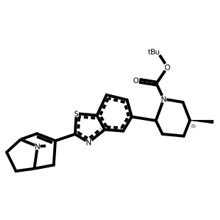 C[C@H]1CCC(c2ccc3sc(C4=CC5CCC(C4)N5C)nc3c2)N(C(=O)OC(C)(C)C)C1